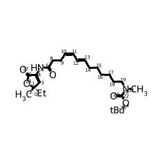 CC[C@@]1(C)C=C(NC(=O)CC/C=C\C=C\CCCCCCN(C)C(=O)OC(C)(C)C)C(=O)O1